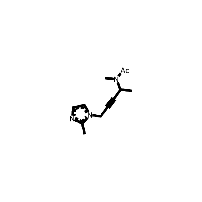 CC(=O)N(C)C(C)C#CCn1ccnc1C